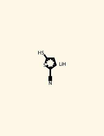 N#Cc1ccc(S)s1.[LiH]